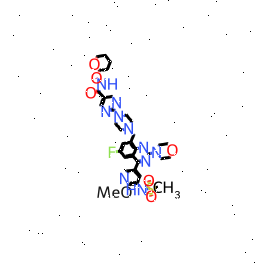 COc1ncc(-c2nc(N3CCOCC3)nc3c(CN4CCN(c5ncc(C(=O)NOC6CCCCO6)cn5)CC4)cc(F)cc23)cc1NS(C)(=O)=O